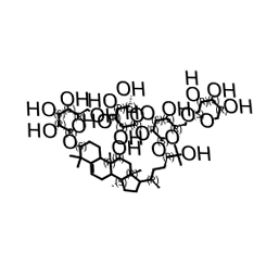 C[C@H](CC[C@@H](O[C@@H]1O[C@H](CO[C@@H]2OC[C@@H](O)[C@H](O)[C@H]2O)[C@@H](O)[C@H](O)[C@H]1O[C@H]1O[C@@H](CO)[C@H](O)[C@@H](O)[C@@H]1O)C(C)(C)O)C1CC[C@@]2(C)C3CC=C4C(CC[C@H](O[C@@H]5O[C@H](CO)[C@@H](O)[C@H](O)[C@H]5O)C4(C)C)[C@]3(C)[C@H](O)C[C@]12C